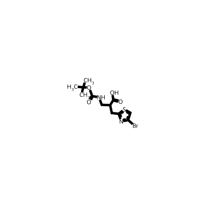 CC(C)(C)OC(=O)NCC(Cc1nc(Br)cs1)C(=O)O